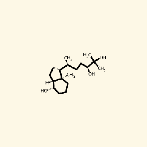 C[C@@H](CC[C@H](O)C(C)(C)O)[C@H]1CC[C@H]2[C@@H](O)CCC[C@]12C